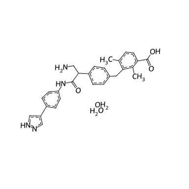 Cc1ccc(C(=O)O)c(C)c1Cc1ccc(C(CN)C(=O)Nc2ccc(-c3cn[nH]c3)cc2)cc1.O.O